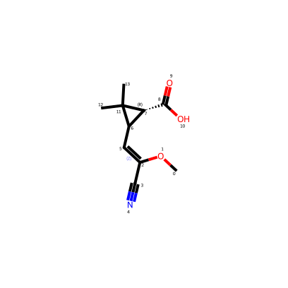 CO/C(C#N)=C\C1[C@@H](C(=O)O)C1(C)C